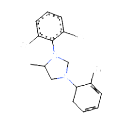 CC(C)C1=CC=CCC1N1CC(C)N(c2c(C(C)C)cccc2C(C)C)C1